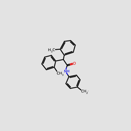 [CH2]c1ccc(NC(=O)C(c2ccccc2C)c2ccccc2C)cc1